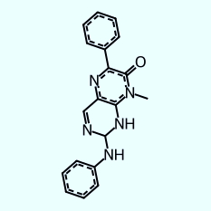 Cn1c2c(nc(-c3ccccc3)c1=O)C=NC(Nc1ccccc1)N2